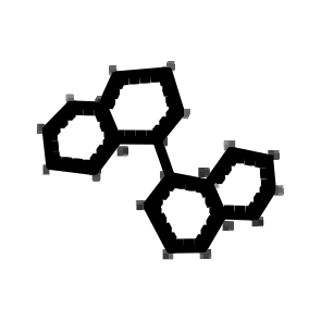 [c]1cccc2cccc(-c3cccc4ccc[c]c34)c12